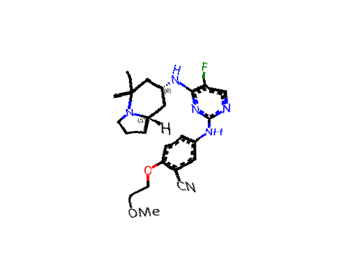 COCCOc1ccc(Nc2ncc(F)c(N[C@@H]3C[C@@H]4CCCN4C(C)(C)C3)n2)cc1C#N